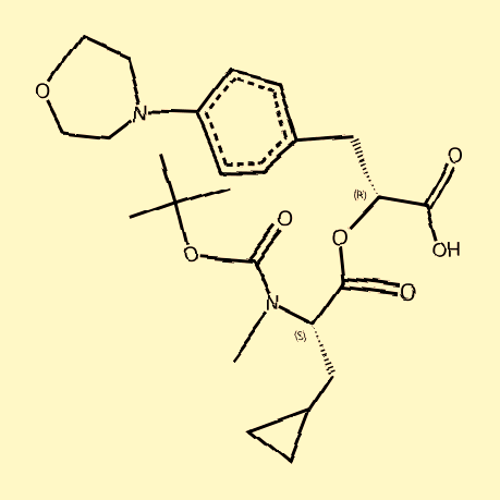 CN(C(=O)OC(C)(C)C)[C@@H](CC1CC1)C(=O)O[C@H](Cc1ccc(N2CCOCC2)cc1)C(=O)O